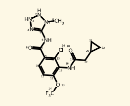 CN1NNN=C1NC(=O)c1ccc(OC(F)(F)F)c(NC(=O)CC2CC2)c1Cl